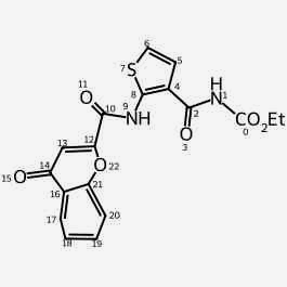 CCOC(=O)NC(=O)c1ccsc1NC(=O)c1cc(=O)c2ccccc2o1